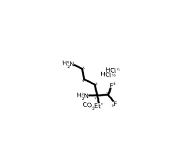 CCOC(=O)C(N)(CCCN)C(F)F.Cl.Cl